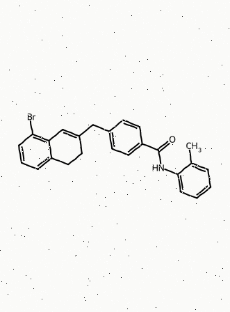 Cc1ccccc1NC(=O)c1ccc(CC2=Cc3c(Br)cccc3CC2)cc1